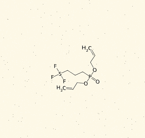 C=CCOP(=O)(CCCS(F)(F)F)OCC=C